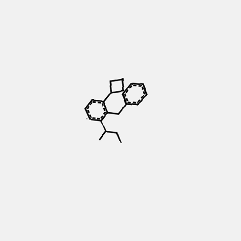 CCC(C)c1[c]ccc(C2CCC2)c1Cc1ccccc1